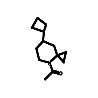 CC(=O)N1CCC(C2CCC2)CC12CC2